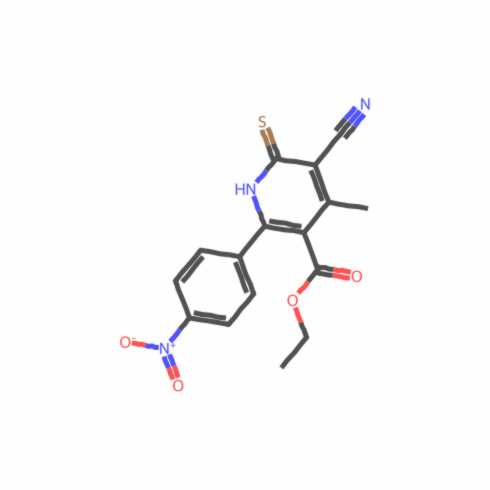 CCOC(=O)c1c(-c2ccc([N+](=O)[O-])cc2)[nH]c(=S)c(C#N)c1C